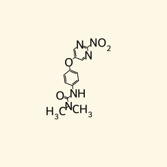 CN(C)C(=O)Nc1ccc(Oc2cnc([N+](=O)[O-])nc2)cc1